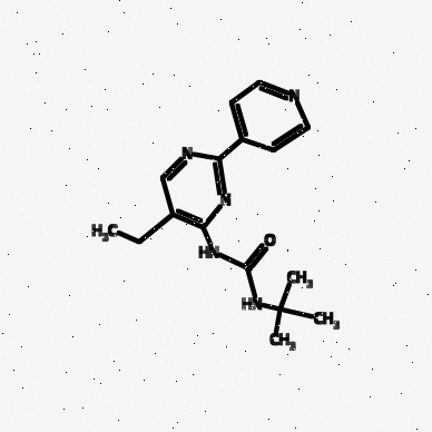 CCc1cnc(-c2ccncc2)nc1NC(=O)NC(C)(C)C